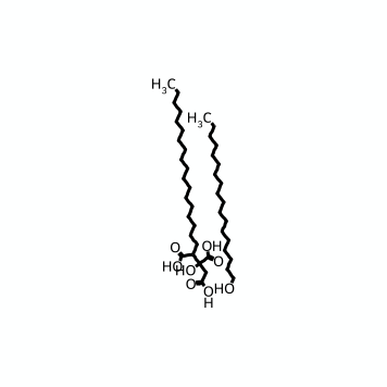 CCCCCCCCCCCCCCCCCCC(C(=O)O)C(O)(CC(=O)O)C(=O)O.CCCCCCCCCCCCCCCCCCO